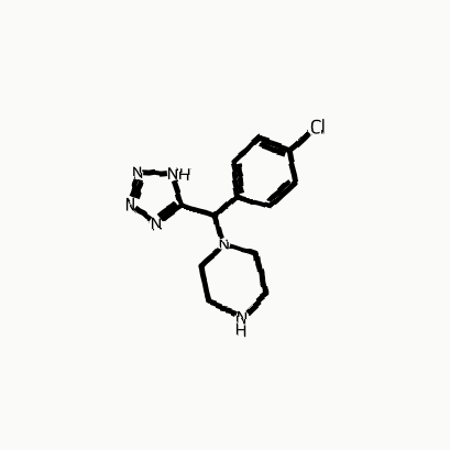 Clc1ccc(C(c2nnn[nH]2)N2CCNCC2)cc1